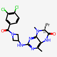 Cc1nc(NC2CN(C(=O)c3ccc(Cl)c(Cl)c3)C2)nc2c1NC(=O)[C@H](C(C)C)N2C